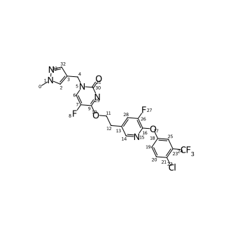 Cn1cc(Cn2cc(F)c(OCCc3cnc(Oc4ccc(Cl)c(C(F)(F)F)c4)c(F)c3)nc2=O)cn1